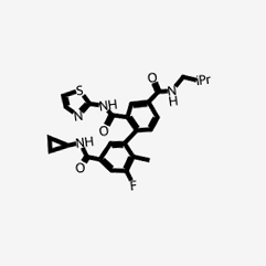 Cc1c(F)cc(C(=O)NC2CC2)cc1-c1ccc(C(=O)NCC(C)C)cc1C(=O)Nc1nccs1